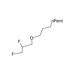 [CH2]CCCCCCCOCC(F)CF